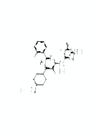 Cc1nc(Nc2nc(-c3ccccc3C)nc(C3CCC(N)CC3)c2C)n[nH]1